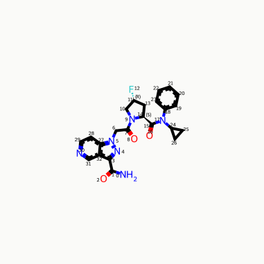 NC(=O)c1nn(CC(=O)N2C[C@H](F)C[C@H]2C(=O)N(c2ccccc2)C2CC2)c2ccncc12